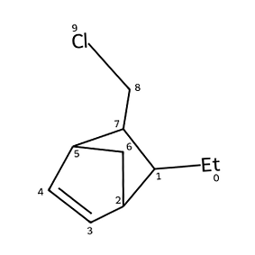 CCC1C2C=CC(C2)C1CCl